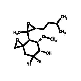 [2H]C1([2H])C[C@]2(CO2)[C@@H](C2(C)O[C@@H]2CCC(C)C)[C@H](OC)[C@@H]1O